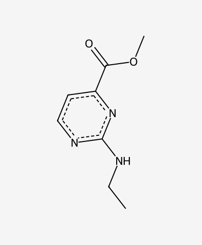 CCNc1nccc(C(=O)OC)n1